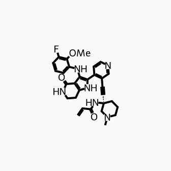 C=CC(=O)N[C@@]1(C#Cc2cnccc2-c2[nH]c3c(c2Nc2cccc(F)c2OC)C(=O)NCC3)CCCN(C)C1